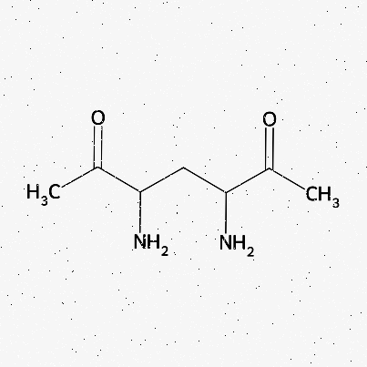 CC(=O)C(N)CC(N)C(C)=O